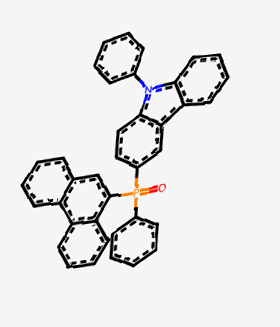 O=P(c1ccccc1)(c1ccc2c(c1)c1ccccc1n2-c1ccccc1)c1cc2ccccc2c2ccccc12